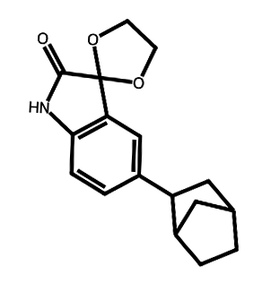 O=C1Nc2ccc(C3CC4CCC3C4)cc2C12OCCO2